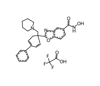 O=C(NO)c1ccc2oc(C3(CN4CCCCC4)C=CC(c4ccccc4)=CC3)nc2c1.O=C(O)C(F)(F)F